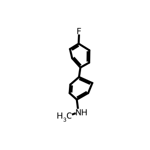 CNc1ccc(-c2ccc(F)cc2)cc1